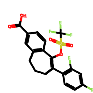 O=C(O)c1ccc2c(c1)CCCC(c1ccc(F)cc1F)=C2OS(=O)(=O)C(F)(F)F